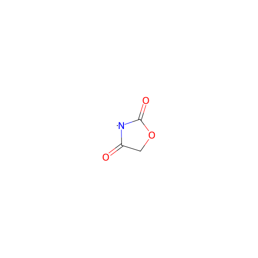 O=C1COC(=O)[N]1